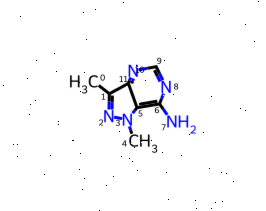 Cc1nn(C)c2c(N)ncnc12